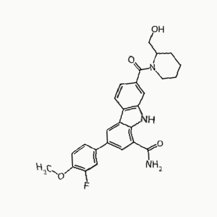 COc1ccc(-c2cc(C(N)=O)c3[nH]c4cc(C(=O)N5CCCCC5CO)ccc4c3c2)cc1F